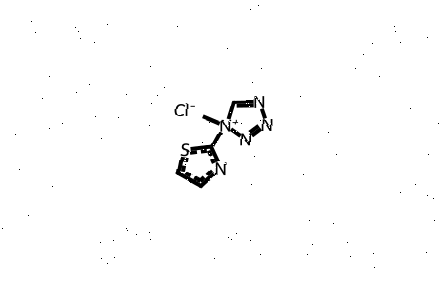 C[N+]1(c2nccs2)C=NN=N1.[Cl-]